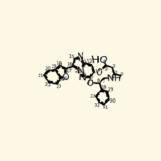 CC(CC(=O)O)NCC(Oc1ccc2ncc(-c3cc4ccccc4o3)n2n1)c1ccccc1